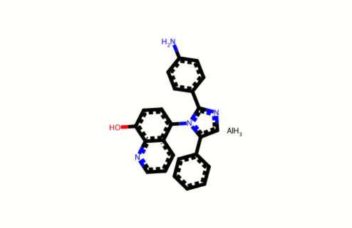 Nc1ccc(-c2ncc(-c3ccccc3)n2-c2ccc(O)c3ncccc23)cc1.[AlH3]